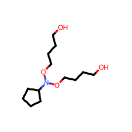 OCCCCON(OCCCCO)C1CCCC1